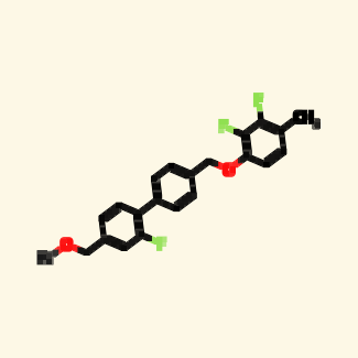 CCOCc1ccc(-c2ccc(COc3ccc(C)c(F)c3F)cc2)c(F)c1